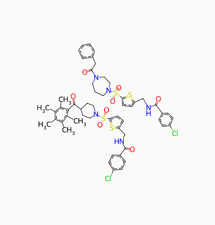 Cc1c(C)c(C)c(C(=O)C2CCN(S(=O)(=O)c3ccc(CNC(=O)c4ccc(Cl)cc4)s3)CC2)c(C)c1C.O=C(NCc1ccc(S(=O)(=O)N2CCCN(C(=O)Cc3ccccc3)CC2)s1)c1ccc(Cl)cc1